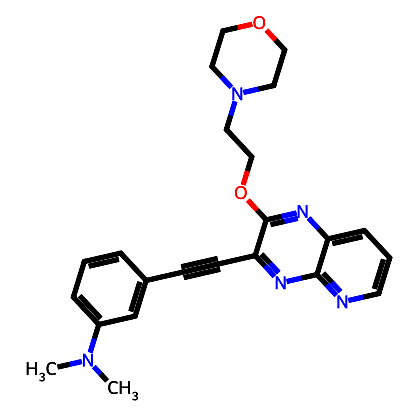 CN(C)c1cccc(C#Cc2nc3ncccc3nc2OCCN2CCOCC2)c1